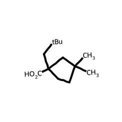 CC(C)(C)CC1(C(=O)O)CCC(C)(C)C1